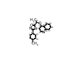 Cc1ccc(-c2noc(C(C)Oc3ccnc4ccccc34)n2)cc1